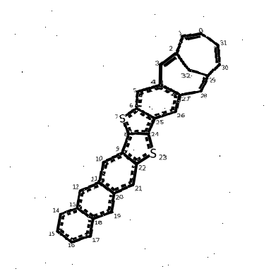 C1=CC2=Cc3cc4sc5c6cc7cc8ccccc8cc7cc6sc5c4cc3C=C(C=C1)C2